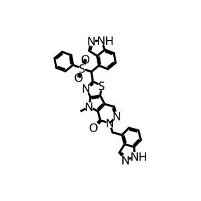 Cn1c2nc(C(c3cccc4[nH]ncc34)S(=O)(=O)c3ccccc3)sc2c2cnn(Cc3cccc4[nH]ncc34)c(=O)c21